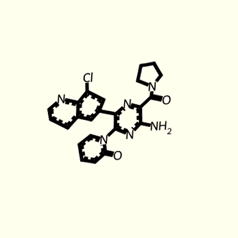 Nc1nc(-n2ccccc2=O)c(-c2cc(Cl)c3ncccc3c2)nc1C(=O)N1CCCC1